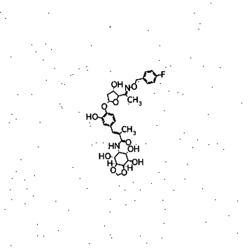 CC(=Cc1ccc(O[C@@H]2C[C@H](O)[C@@H](C(C)=NOCc3ccc(F)cc3)O2)c(O)c1)C(=O)N[C@@H]1[C@H](O)[C@@H](O)[C@H]2OCO[C@H]2[C@@H]1O